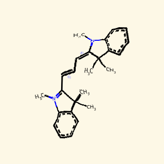 CN1/C(=C/C=C/C2=[N+](C)c3ccccc3C2(C)C)C(C)(C)c2ccccc21